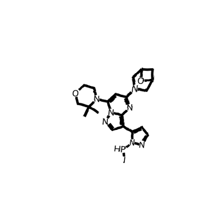 CC1(C)COCCN1c1cc(N2CC3CC(C2)O3)nc2c(-c3ccnn3PI)cnn12